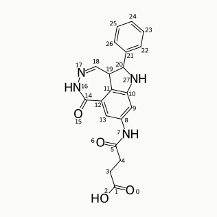 O=C(O)CCC(=O)Nc1cc2c3c(c1)C(=O)NN=CC3C(c1ccccc1)N2